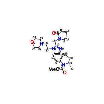 COC(=O)N1c2ccc3c(nc(Cn4ccccc4=O)n3CCN3CCOCC3)c2CC[C@@H]1C